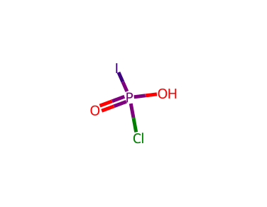 O=P(O)(Cl)I